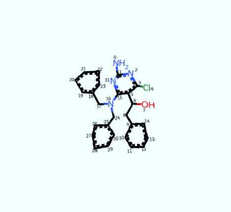 Nc1nc(Cl)c(C(O)Cc2ccccc2)c(N(Cc2ccccc2)Cc2ccccc2)n1